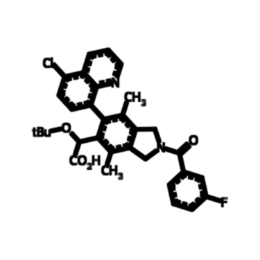 Cc1c2c(c(C)c(C(OC(C)(C)C)C(=O)O)c1-c1ccc(Cl)c3cccnc13)CN(C(=O)c1cccc(F)c1)C2